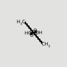 CCCCCCCCCC/C(C(=O)O)=C(/CCCCCCCCCC)C(=O)O